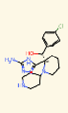 Nc1nnc([C@@]2(C(O)c3ccc(Cl)cc3)CCCCN2C2CCNCC2)[nH]1